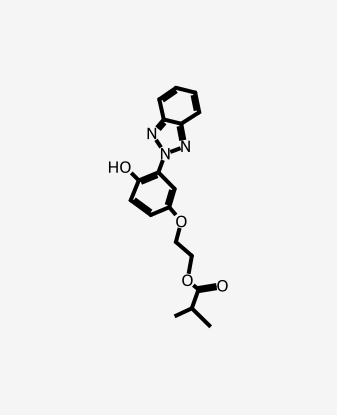 CC(C)C(=O)OCCOc1ccc(O)c(-n2nc3ccccc3n2)c1